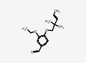 CC=CC(C)(C)COc1ccc(C=O)cc1OCC